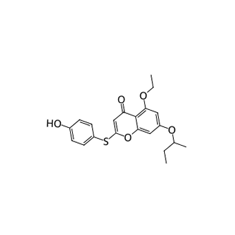 CCOc1cc(OC(C)CC)cc2oc(Sc3ccc(O)cc3)cc(=O)c12